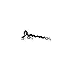 CCCCCCCCCCC(C)C1=NCCN1CCO